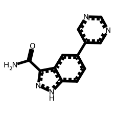 NC(=O)c1n[nH]c2ccc(-c3cncnc3)cc12